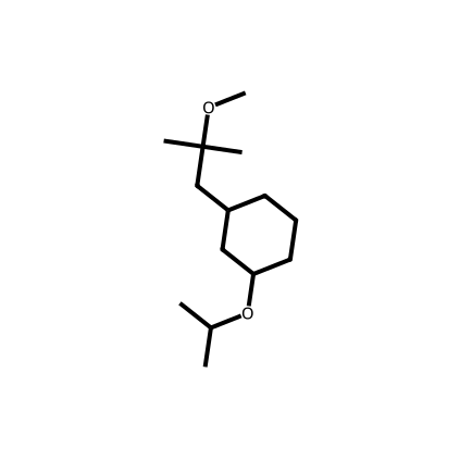 COC(C)(C)CC1CCCC(OC(C)C)C1